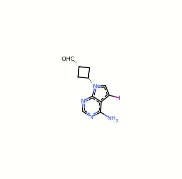 Nc1ncnc2c1c(I)cn2[C@H]1C[C@@H](C=O)C1